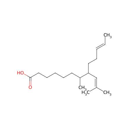 CC=CCCC(C=C(C)C)C(C)CCCCCC(=O)O